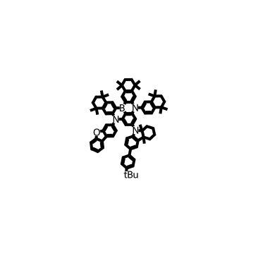 CC(C)(C)c1ccc(-c2ccc3c(c2)C2(C)CCCCC2(C)N3c2cc3c4c(c2)N(c2ccc5c(c2)oc2ccccc25)c2cc5c(cc2B4c2cc4c(cc2N3c2ccc3c(c2)C(C)(C)CCC3(C)C)C(C)(C)CCC4(C)C)C(C)(C)CCC5(C)C)cc1